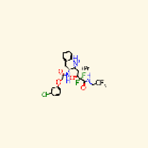 CC(C)[C@H](C(=O)C(F)(F)C(=O)NCC(F)(F)F)C(N)[C@H](Cc1ccccc1)NC(=O)COc1cccc(Cl)c1